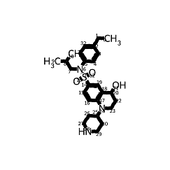 CCc1ccc(N(CC(C)C)S(=O)(=O)c2ccc3c(c2)C(O)CCN3C2CCNCC2)cc1